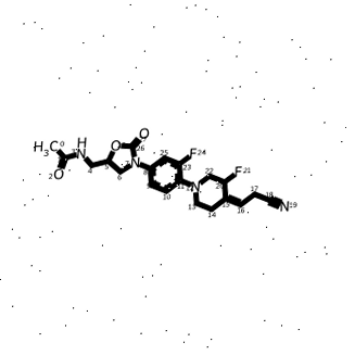 CC(=O)NCC1CN(c2ccc(N3CC/C(=C/CC#N)C(F)C3)c(F)c2)C(=O)O1